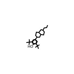 CCCC1CCC2CC(c3cc(C(C)(C)C)c(O)c(C(C)(C)C)c3)CCC2C1